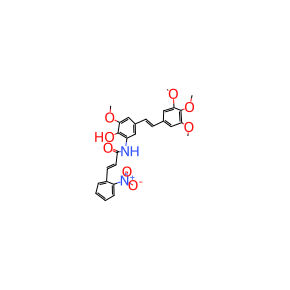 COc1cc(C=Cc2cc(OC)c(OC)c(OC)c2)cc(NC(=O)/C=C/c2ccccc2[N+](=O)[O-])c1O